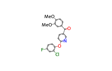 COc1ccc(C(=O)c2ccc(Oc3ccc(F)cc3Cl)nc2)cc1OC